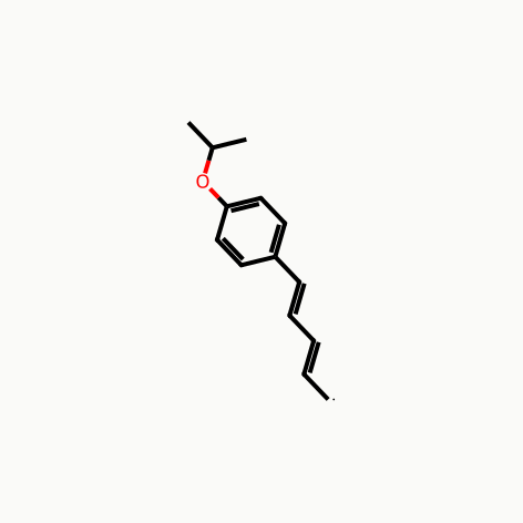 [CH2]C=CC=Cc1ccc(OC(C)C)cc1